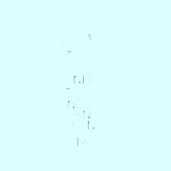 C/C=C(/C)c1ccsc1CCNC(=O)c1cc(C2CC2)n2nc(Br)cc2n1